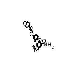 Cn1ncc2cc(C(N)=O)c(Oc3ccc(OCCOC4CCOCC4)cc3F)cc21